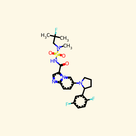 CN(CC(C)(C)F)S(=O)(=O)NC(=O)c1cnc2ccc(N3CCCC3c3cc(F)ccc3F)cn12